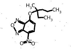 CCCC(C)(CC)Oc1ccc([N+](=O)[O-])c2nonc12